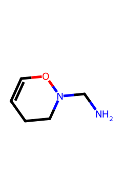 NCN1CCC=CO1